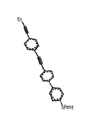 CCC#Cc1ccc(C#Cc2ccc(-c3ccc(CCCCC)cc3)cc2)cc1